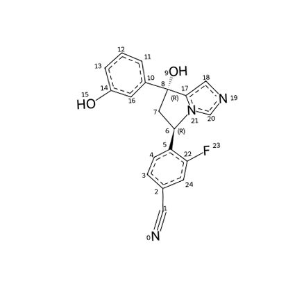 N#Cc1ccc([C@H]2C[C@@](O)(c3cccc(O)c3)c3cncn32)c(F)c1